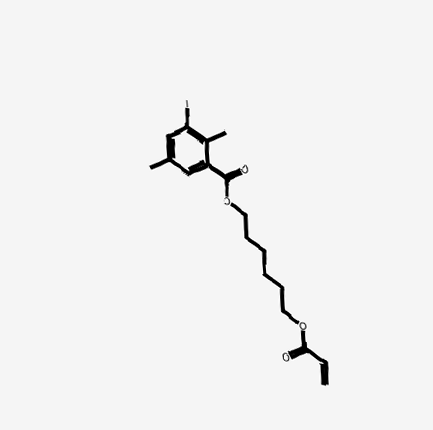 C=CC(=O)OCCCCCCOC(=O)c1cc(C)cc(I)c1C